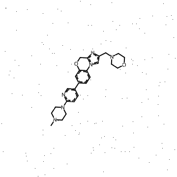 CN1CCN(c2ccc(-c3ccc4c(c3)OCc3nc(CN5CCOCC5)cn3-4)cn2)CC1